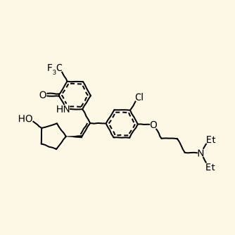 CCN(CC)CCCOc1ccc(/C(=C/[C@H]2CCC(O)C2)c2ccc(C(F)(F)F)c(=O)[nH]2)cc1Cl